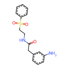 Nc1cccc(CC(=O)NCCS(=O)(=O)c2ccccc2)c1